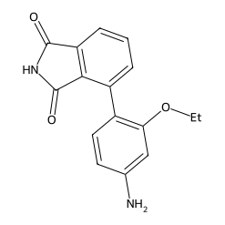 CCOc1cc(N)ccc1-c1cccc2c1C(=O)NC2=O